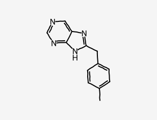 Cc1ccc(Cc2nc3cncnc3[nH]2)cc1